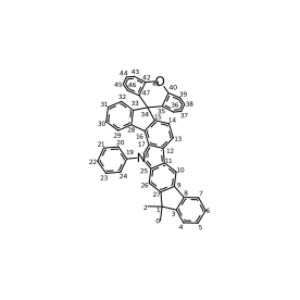 CC1(C)c2ccccc2-c2cc3c4ccc5c(c4n(-c4ccccc4)c3cc21)-c1ccccc1C51c2ccccc2Oc2ccccc21